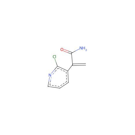 C=C(C(N)=O)c1cccnc1Cl